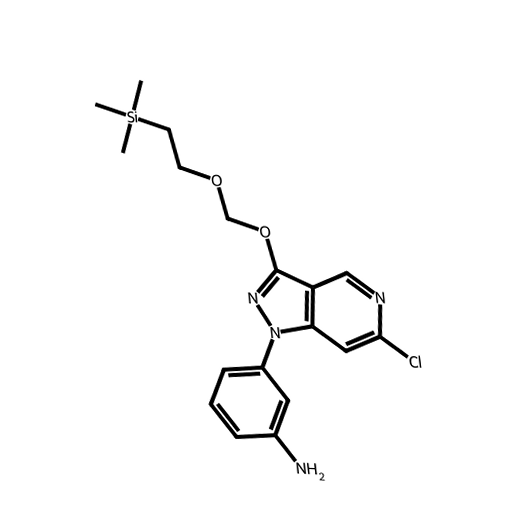 C[Si](C)(C)CCOCOc1nn(-c2cccc(N)c2)c2cc(Cl)ncc12